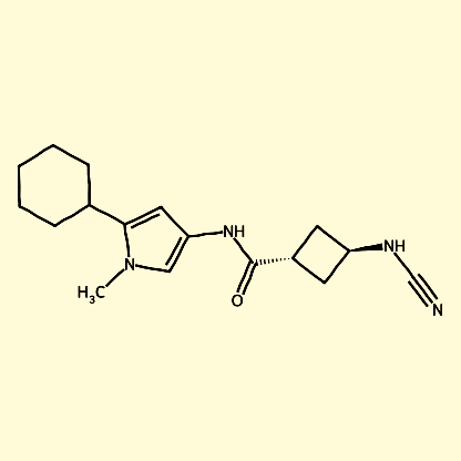 Cn1cc(NC(=O)[C@H]2C[C@H](NC#N)C2)cc1C1CCCCC1